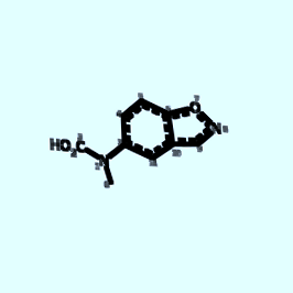 CN(C(=O)O)c1ccc2oncc2c1